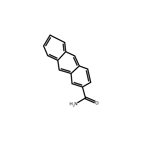 NC(=O)c1ccc2cc3ccccc3cc2c1